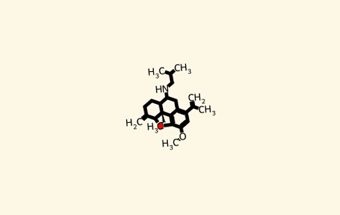 C=C(C)c1cc(OC)c2c3c1CC(NCC(C)C)C1CCC(=C)C(O2)[C@@]31CC